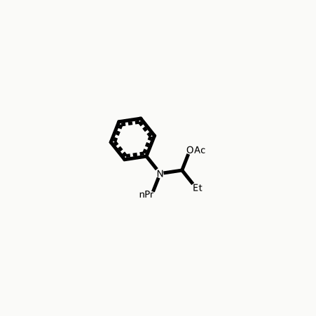 CCCN(c1ccccc1)C(CC)OC(C)=O